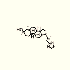 C[C@@H](Cn1nccn1)[C@H]1CC[C@H]2[C@@H]3CC[C@@H]4C[C@](C)(O)CC[C@@H]4[C@H]3CC[C@]12C